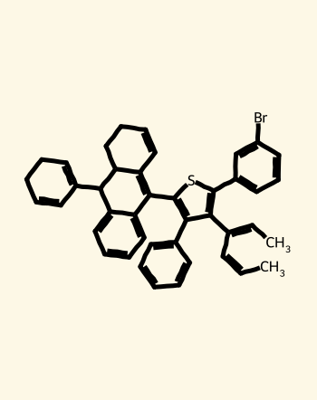 C/C=C\C(=C/C)c1c(-c2cccc(Br)c2)sc(C2=C3C=CCCC3C(C3=CCCC=C3)c3ccccc32)c1-c1ccccc1